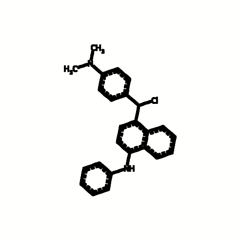 CN(C)c1ccc(C(Cl)c2ccc(Nc3ccccc3)c3ccccc23)cc1